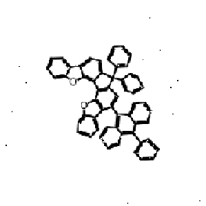 c1ccc(-c2c3ccccc3c(-c3cc4c(c5oc6ccccc6c35)-c3c(ccc5c3oc3ccccc35)C4(c3ccccc3)c3ccccc3)c3ccccc23)cc1